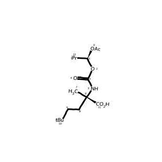 CC(=O)O[C@@H](OC(=O)N[C@@](C)(CCC(C)(C)C)C(=O)O)C(C)C